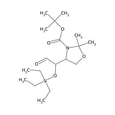 CC[Si](CC)(CC)OC(C=O)C1COC(C)(C)N1C(=O)OC(C)(C)C